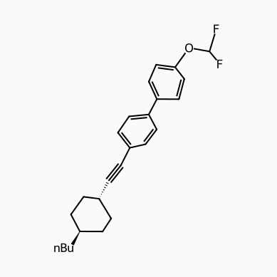 CCCC[C@H]1CC[C@H](C#Cc2ccc(-c3ccc(OC(F)F)cc3)cc2)CC1